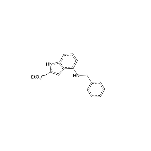 CCOC(=O)c1cc2c(NCc3ccccc3)cccc2[nH]1